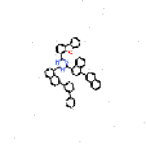 c1ccc(-c2cccc(-c3ccc4cccc(-c5nc(-c6ccc(-c7ccc8ccccc8c7)c7ccccc67)nc(-c6cccc7c6oc6ccccc67)n5)c4c3)c2)cc1